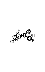 C[C@@H](NC(=O)N1C[C@@H](N2CCCC2O)C(c2ccc(F)cc2)=N1)c1cnc(Cl)nc1